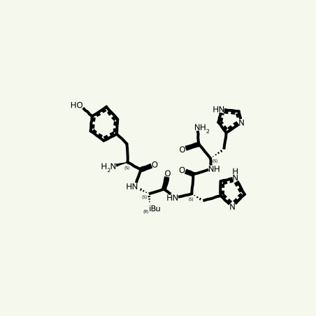 CC[C@@H](C)[C@H](NC(=O)[C@@H](N)Cc1ccc(O)cc1)C(=O)N[C@@H](Cc1c[nH]cn1)C(=O)N[C@@H](Cc1c[nH]cn1)C(N)=O